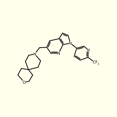 FC(F)(F)c1ccc(-n2ccc3cc(CN4CCC5(CCOCC5)CC4)cnc32)cn1